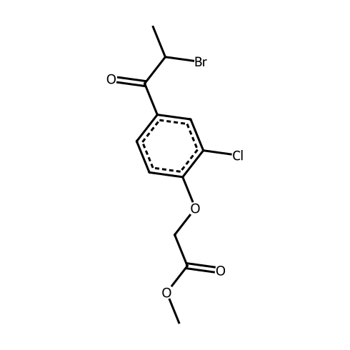 COC(=O)COc1ccc(C(=O)C(C)Br)cc1Cl